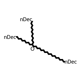 CCCCCCCCCCCCCCCCCCCCCCCCCCC(=O)C(CCCCCCCCCCCCCCCCCC)CCCCCCCCCCCCCCCCCCCCC